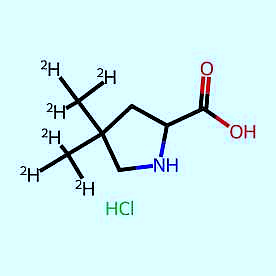 Cl.[2H]C([2H])([2H])C1(C([2H])([2H])[2H])CNC(C(=O)O)C1